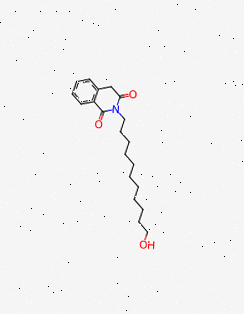 O=C1Cc2ccccc2C(=O)N1CCCCCCCCCCCO